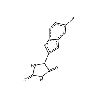 O=C1NC(=O)C(c2cc3cc(F)ccc3s2)N1